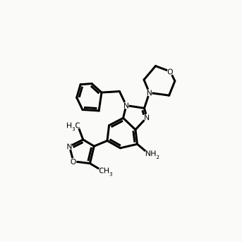 Cc1noc(C)c1-c1cc(N)c2nc(N3CCOCC3)n(Cc3ccccc3)c2c1